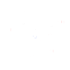 N[C@@H](CC(=O)O)C(=O)O.Oc1ccco1